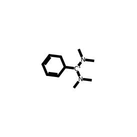 CN(C)[C+](C1C=CC=CC1)N(C)C